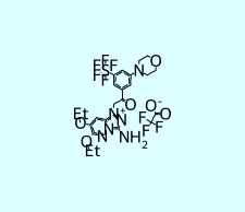 CCOc1cc2n(nc1OCC)c(N)n[n+]2CC(=O)c1cc(N2CCOCC2)cc(S(F)(F)(F)(F)F)c1.O=C([O-])C(F)(F)F